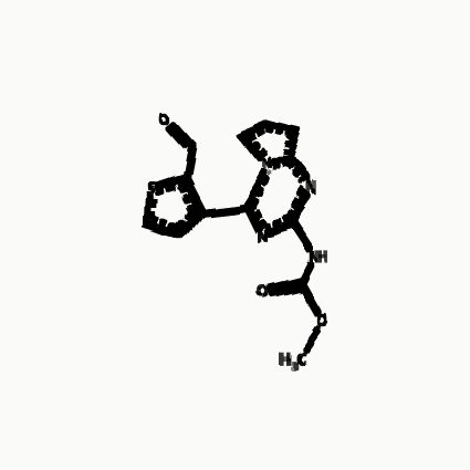 COC(=O)Nc1nc(-c2ccsc2C=O)n2cccc2n1